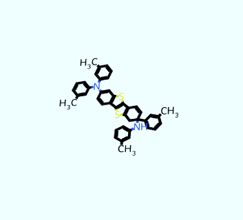 Cc1cccc(NC2(c3cccc(C)c3)C=Cc3c(sc4c3sc3cc(N(c5cccc(C)c5)c5cccc(C)c5)ccc34)C2)c1